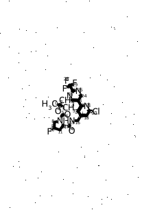 CC(C)(C)OC(=O)N1C[C@H](F)C[C@H]1C(=O)NCc1cc(Cl)nc(-c2cnc(C(F)(F)F)nc2)c1